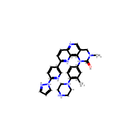 CN1Cc2cnc3ccc(-c4ccc(-n5cccn5)nc4)nc3c2N(c2ccc(N3CCNCC3)c(C(F)(F)F)c2)C1=O